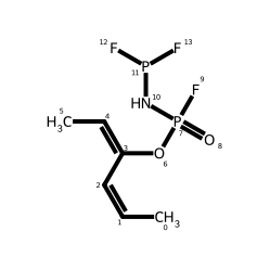 C/C=C\C(=C/C)OP(=O)(F)NP(F)F